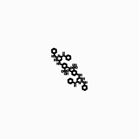 O=S(=O)(O)c1cc(NC2=CC(Nc3ccccc3)=NN(Nc3ccccc3)N2)ccc1/C=C/c1ccc(NC2=CC(Nc3ccccc3)=NN(Nc3ccccc3)N2)cc1S(=O)(=O)O